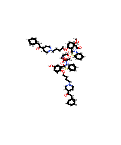 COc1ccc(OCCCCN2CCC(C(=O)Cc3ccccc3)CC2)c(C2(OC(=O)/C=C\C(=O)OC3(c4cc(OC)ccc4OCCCCN4CCC(C(=O)Cc5ccccc5)CC4)Sc4ccccc4N3C(C)=O)Sc3ccccc3N2C(C)=O)c1